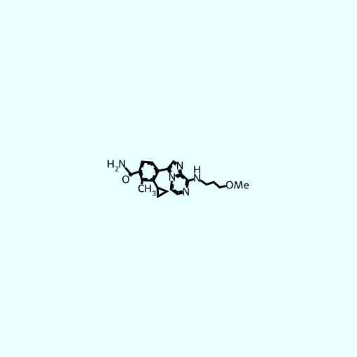 COCCCNc1nccn2c(-c3ccc(C(N)=O)c(C)c3C3CC3)cnc12